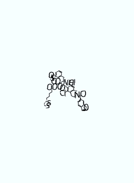 CS(=O)(=O)c1cccc(CC(NC(=O)c2c(Cl)cc3c(c2Cl)CCN(C(=O)c2ccc4ccoc4c2)C3)C(=O)OCOC(=O)CCCC[C@@H]2CCSS2)c1